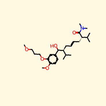 COCCCOc1cc(C(O)[C@@H](C/C=C/C[C@H](C(=O)N(C)C)C(C)C)C(C)C)ccc1OC